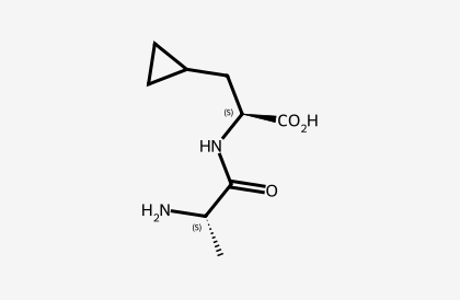 C[C@H](N)C(=O)N[C@@H](CC1CC1)C(=O)O